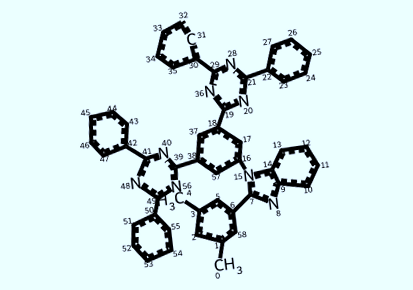 Cc1cc(C)cc(-c2nc3ccccc3n2-c2cc(-c3nc(-c4ccccc4)nc(-c4ccccc4)n3)cc(-c3nc(-c4ccccc4)nc(-c4ccccc4)n3)c2)c1